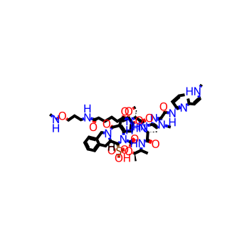 C/C=C\C(=N/C(C)/C=C\NC)NC(=O)c1nc(NOc2cc3c(cc2OC)C(=O)N2Cc4ccccc4C[C@H]2C(S(=O)(=O)O)N3C(=O)O[C@H](C)C(C)NC(=O)[C@@H](C)NC(=O)[C@@H](C)NC(=O)CCCCC(=O)NCCCONC)cn1C